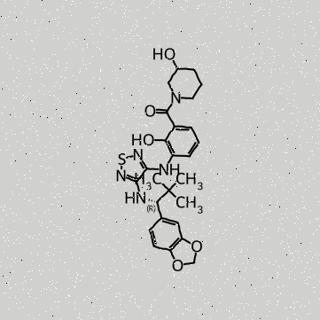 CC(C)(C)[C@@H](Nc1nsnc1Nc1cccc(C(=O)N2CCCC(O)C2)c1O)c1ccc2c(c1)OCO2